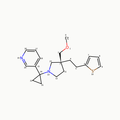 CCOC[C@@]1(CCc2cccs2)CCN(C2(c3cccnc3)CC2)C1